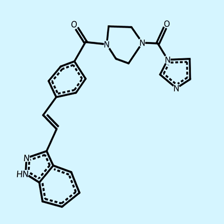 O=C(c1ccc(C=Cc2n[nH]c3ccccc23)cc1)N1CCN(C(=O)n2ccnc2)CC1